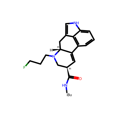 CCC(C)NC(=O)[C@@H]1C=C2c3cccc4[nH]cc(c34)C[C@H]2N(CCCF)C1